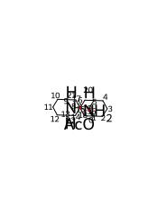 CC(=O)O[C@@]12CCC[C@H](CC(N3[C@@H]4CCC[C@H]3CC(N)C4)C1)C2